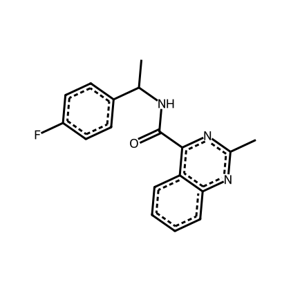 Cc1nc(C(=O)NC(C)c2ccc(F)cc2)c2ccccc2n1